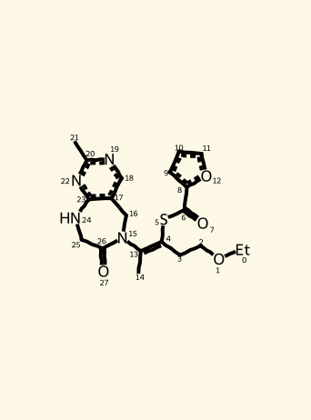 CCOCC/C(SC(=O)c1ccco1)=C(\C)N1Cc2cnc(C)nc2NCC1=O